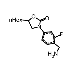 CCCCCCC1CN(c2ccc(CN)c(F)c2)C(=O)O1